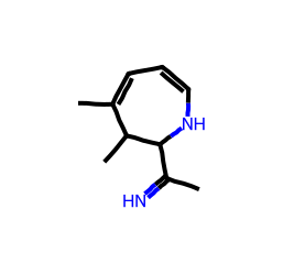 CC(=N)C1NC=CC=C(C)C1C